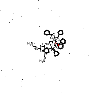 NCCNc1nc(NCCN)nc(NCCC([Si](OC(=O)c2ccccc2)(OC(=O)c2ccccc2)OC(=O)c2ccccc2)[Si](OC(=O)c2ccccc2)(OC(=O)c2ccccc2)OC(=O)c2ccccc2)n1